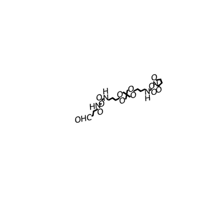 O=CCCC(=O)NOC(=O)NCCCC1OCC2(CO1)COC(CCCNC(=O)ON1C(=O)CCC1=O)OC2